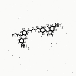 CCCC(c1ccc(CCCCCc2ccc(C(CCC)c3ccc(N)cc3C)cc2)cc1)c1ccc(N)cc1C